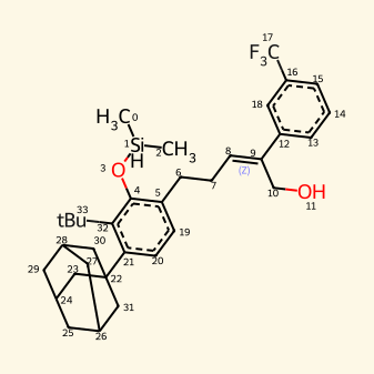 C[SiH](C)Oc1c(CC/C=C(\CO)c2cccc(C(F)(F)F)c2)ccc(C23CC4CC(CC(C4)C2)C3)c1C(C)(C)C